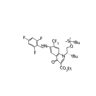 CCOC(=O)c1cn([C@H](CO[Si](C)(C)C(C)(C)C)C(C)(C)C)c2cc(C(F)(F)F)c(NCc3c(F)cc(F)cc3F)cc2c1=O